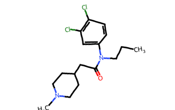 CCCN(C(=O)CC1CCN(C)CC1)c1ccc(Cl)c(Cl)c1